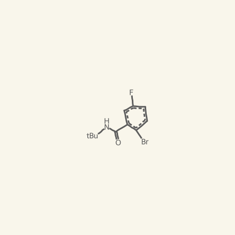 CC(C)(C)NC(=O)c1cc(F)ccc1Br